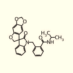 CC(C)NC(=O)c1ccccc1CN1C(=O)C2(COc3cc4c(cc32)OCO4)c2ccccc21